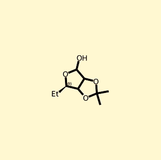 CC[C@H]1OC(O)C2OC(C)(C)OC21